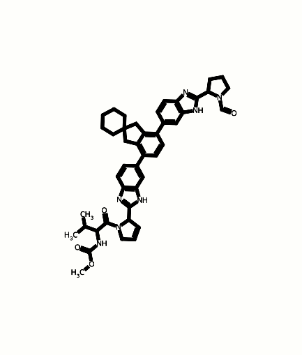 COC(=O)NC(C(=O)N1CC=CC1c1nc2ccc(-c3ccc(-c4ccc5nc(C6CCCN6C=O)[nH]c5c4)c4c3CC3(CCCCC3)C4)cc2[nH]1)C(C)C